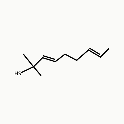 CC=CCCC=CC(C)(C)S